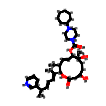 C/C(=C\C=C\C(C)c1cccnc1)[C@H]1OC(=O)C[C@H](O)CC[C@@](C)(O)[C@@H](OC(=O)N2CCN(C3CCCCCC3)CC2)/C=C/[C@@H]1C